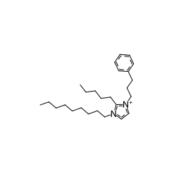 CCCCCCCCCn1cc[n+](CCCc2ccccc2)c1CCCCC